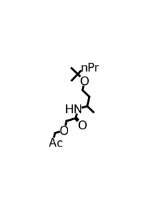 CCCC(C)(C)OCCC(C)NC(=O)COCC(C)=O